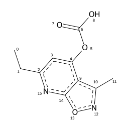 CCc1cc(OC(=O)O)c2c(C)noc2n1